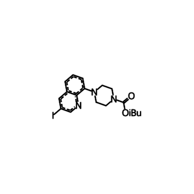 CC(C)COC(=O)N1CCN(c2cccc3cc(I)cnc23)CC1